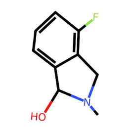 CN1Cc2c(F)cccc2C1O